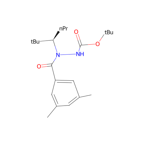 CCC[C@@H](N(NC(=O)OC(C)(C)C)C(=O)c1cc(C)cc(C)c1)C(C)(C)C